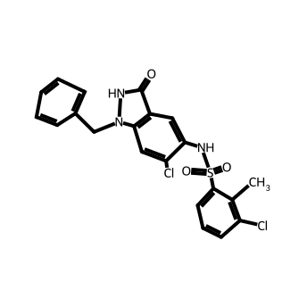 Cc1c(Cl)cccc1S(=O)(=O)Nc1cc2c(=O)[nH]n(Cc3ccccc3)c2cc1Cl